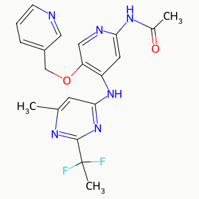 CC(=O)Nc1cc(Nc2cc(C)nc(C(C)(F)F)n2)c(OCc2cccnc2)cn1